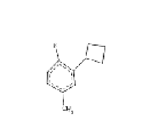 Cc1ccc(F)c(C2CCC2)c1